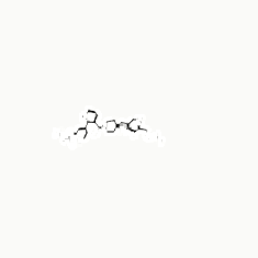 C=C/C=C(\C=C/C)c1ncccc1C(=O)N1CCC(P)(Cc2ccc(CC)nc2)CC1